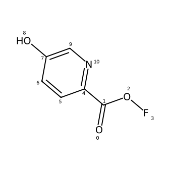 O=C(OF)c1ccc(O)cn1